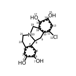 Oc1cc2c(cc1O)C1Cc3c(Cl)cc(O)c(O)c3CN1CC2